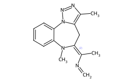 C=N/C(C)=C1/Cc2c(C)nnn2-c2ccccc2N1C